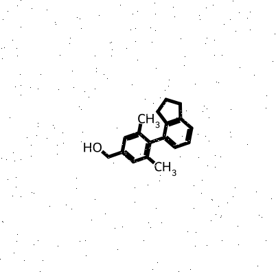 Cc1cc(CO)cc(C)c1-c1cccc2c1CCC2